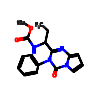 CC(C)(C)OC(=O)NC(CC(F)(F)F)c1nc2cccn2c(=O)n1-c1ccccc1